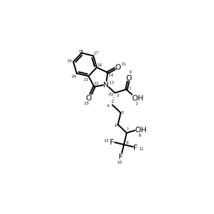 O=C(O)[C@H](CCCC(O)C(F)(F)F)N1C(=O)c2ccccc2C1=O